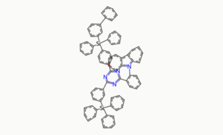 c1ccc(-c2cccc([Si](c3ccccc3)(c3ccccc3)c3ccc(-c4nc(-c5cccc([Si](c6ccccc6)(c6ccccc6)c6ccccc6)c5)nc(-c5ccccc5-n5c6ccccc6c6ccccc65)n4)cc3)c2)cc1